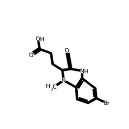 CN1c2ccc(Br)cc2NC(=O)C1CCC(=O)O